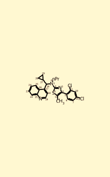 CCCN(c1nc(-c2ccc(Cl)cc2Cl)c(C)s1)C(c1ccnc2ccccc12)C1CC1